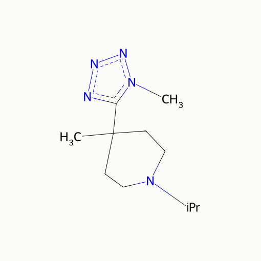 CC(C)N1CCC(C)(c2nnnn2C)CC1